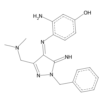 CN(C)CC1=NN(Cc2ccccc2)C(=N)C1=Nc1ccc(O)cc1N